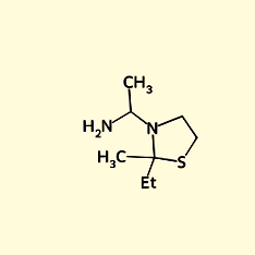 CCC1(C)SCCN1C(C)N